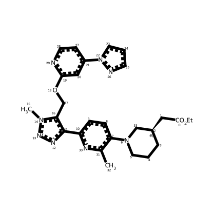 CCOC(=O)C[C@H]1CCCN(c2ccc(-c3nnn(C)c3COc3cc(-n4cccn4)ccn3)nc2C)C1